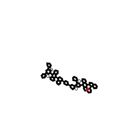 c1ccc(-c2c(-c3c4ccccc4c(-c4cc5oc6ccc(-c7ccc(-c8ccc(-c9c%10ccccc%10c(-c%10c%11oc%12ccccc%12c%11cc%11c%10oc%10ccccc%10%11)c%10ccccc9%10)c9ccccc89)cc7)cc6c5c5c4oc4ccccc45)c4ccccc34)ccc3ccccc23)cc1